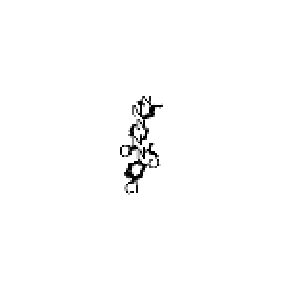 Cc1cc(N2CCN(C(=O)N3c4ccc(Cl)cc4OCC3C)CC2)ncn1